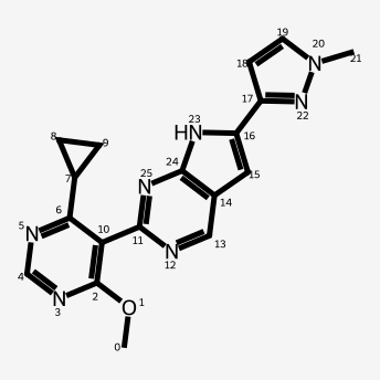 COc1ncnc(C2CC2)c1-c1ncc2cc(-c3ccn(C)n3)[nH]c2n1